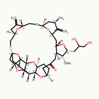 C=C1C[C@@H]2CC[C@@]34C[C@H]5[C@H]6O[C@H](CC[C@@H]6O[C@H]6[C@@H](O3)[C@@H](C4)O[C@@H]56)CC(=O)C[C@@H]3[C@@H](OC)[C@@H](CC(O)CO)O[C@H]3C[C@H]3O[C@@H](CC[C@@H]1O2)C[C@@H](C)C3=C